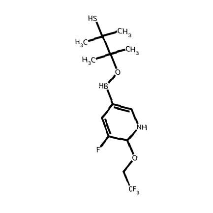 CC(C)(S)C(C)(C)OBC1=CNC(OCC(F)(F)F)C(F)=C1